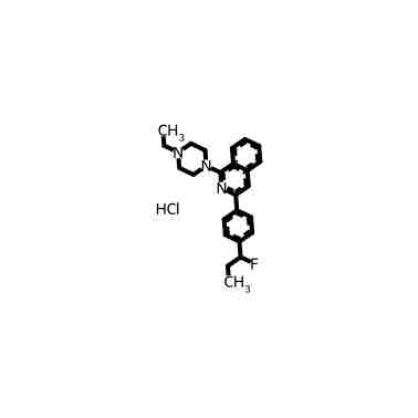 CCC(F)c1ccc(-c2cc3ccccc3c(N3CCN(CC)CC3)n2)cc1.Cl